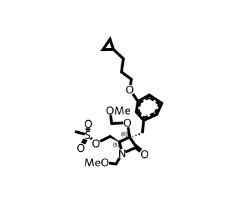 COCO[C@@]1(Cc2cccc(OCCCC3CC3)c2)C(=O)N(COC)[C@H]1COS(C)(=O)=O